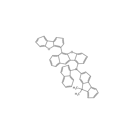 CC1(C)c2ccccc2-c2ccc(N(c3cccc4ccccc34)c3cccc4oc5c(-c6cccc7c6oc6ccccc67)c6ccccc6cc5c34)cc21